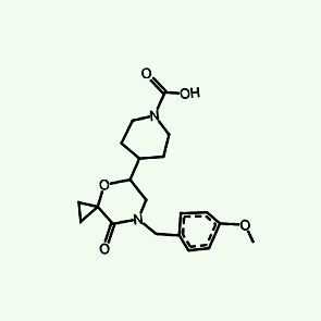 COc1ccc(CN2CC(C3CCN(C(=O)O)CC3)OC3(CC3)C2=O)cc1